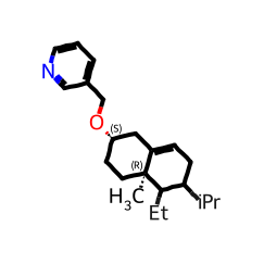 CCC1C(C(C)C)CC=C2C[C@@H](OCc3cccnc3)CC[C@@]21C